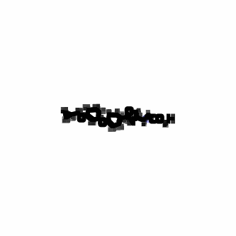 O=C(O)/C=C/c1coc(-c2ccc(Oc3cccc(OCC4CC4)c3)cc2)n1